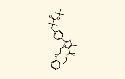 CCOC(=O)c1c(C)nc(-c2ccc(SC(C)(C)C(=O)OC(C)(C)C)cc2)n1CCOc1ccccc1